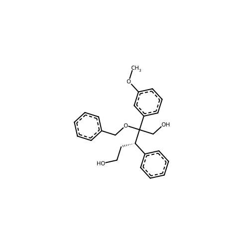 COc1cccc(C(CO)(OCc2ccccc2)[C@@H](CCO)c2ccccc2)c1